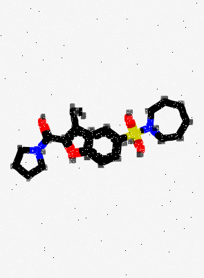 Cc1c(C(=O)N2CCCC2)oc2ccc(S(=O)(=O)N3CCCCCC3)cc12